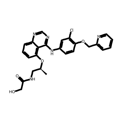 C[C@@H](CNC(=O)CO)Oc1cccc2ncnc(Nc3ccc(OCc4ccccn4)c(Cl)c3)c12